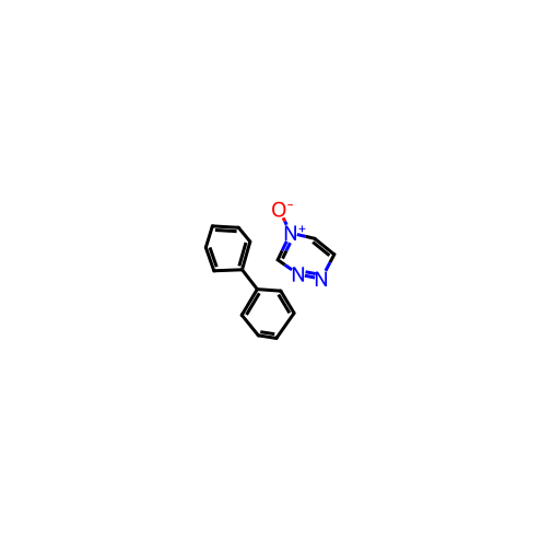 [O-][n+]1ccnnc1.c1ccc(-c2ccccc2)cc1